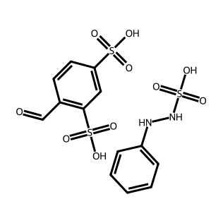 O=Cc1ccc(S(=O)(=O)O)cc1S(=O)(=O)O.O=S(=O)(O)NNc1ccccc1